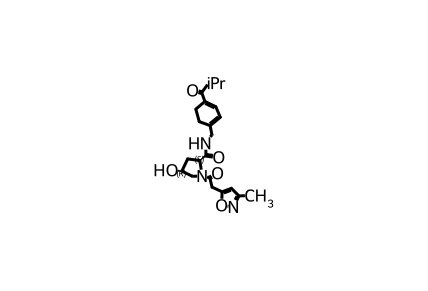 Cc1cc(CC(=O)N2C[C@H](O)C[C@H]2C(=O)NCC2=CC=C(C(=O)C(C)C)CC2)on1